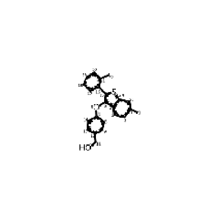 Cc1ccc2c(Oc3ccc(CO)cc3)c(-c3ccccc3C)sc2c1